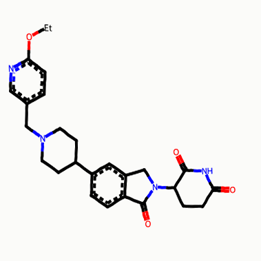 CCOc1ccc(CN2CCC(c3ccc4c(c3)CN(C3CCC(=O)NC3=O)C4=O)CC2)cn1